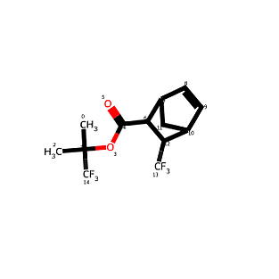 CC(C)(OC(=O)C1C2C=CC(C2)C1C(F)(F)F)C(F)(F)F